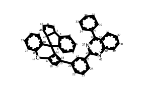 C1=CC2c3ccccc3C3(c4ccccc4Oc4ccc(-c5cccc(-c6nc(-c7ccccc7)c7ccccc7n6)c5)cc43)C2C=C1